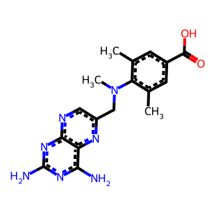 Cc1cc(C(=O)O)cc(C)c1N(C)Cc1cnc2nc(N)nc(N)c2n1